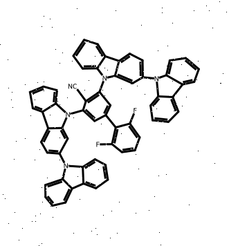 N#Cc1c(-n2c3ccccc3c3ccc(-n4c5ccccc5c5ccccc54)cc32)cc(-c2c(F)cccc2F)cc1-n1c2ccccc2c2ccc(-n3c4ccccc4c4ccccc43)cc21